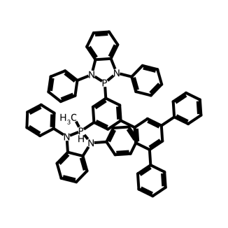 C[PH]1(c2cc(-c3cc(-c4ccccc4)cc(-c4ccccc4)c3)cc(P3N(c4ccccc4)c4ccccc4N3c3ccccc3)c2)N(c2ccccc2)c2ccccc2N1c1ccccc1